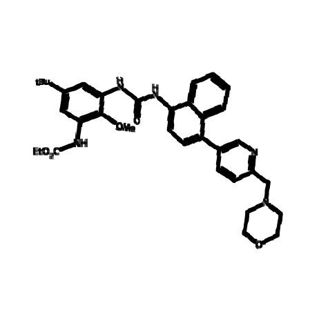 CCOC(=O)Nc1cc(C(C)(C)C)cc(NC(=O)Nc2ccc(-c3ccc(CN4CCOCC4)nc3)c3ccccc23)c1OC